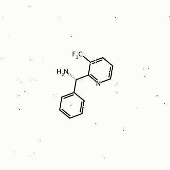 N[C@@H](c1ccccc1)c1ncccc1C(F)(F)F